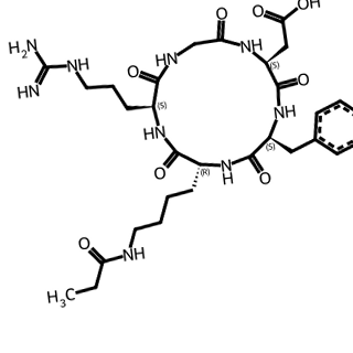 CCC(=O)NCCCC[C@H]1NC(=O)[C@H](Cc2ccccc2)NC(=O)[C@H](CC(=O)O)NC(=O)CNC(=O)[C@H](CCCNC(=N)N)NC1=O